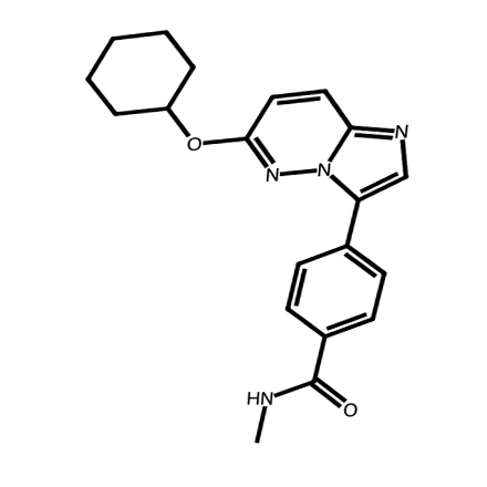 CNC(=O)c1ccc(-c2cnc3ccc(OC4CCCCC4)nn23)cc1